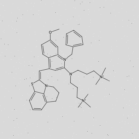 COc1ccc2c(C=C3Sc4cccc5c4N3CCC5)cc(N(CCC[N+](C)(C)C)CCC[N+](C)(C)C)[n+](Cc3ccccc3)c2c1